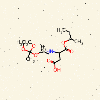 CCC(C)OC(=O)C(CC(=O)O)NC[SiH2]OC(C)(OC)OC